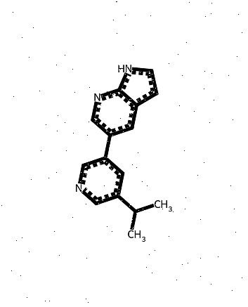 CC(C)c1cncc(-c2cnc3[nH]ccc3c2)c1